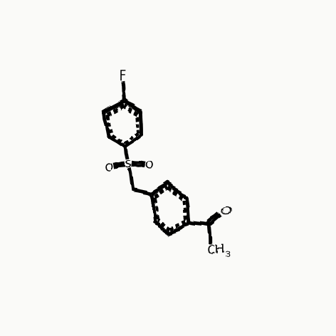 CC(=O)c1ccc(CS(=O)(=O)c2ccc(F)cc2)cc1